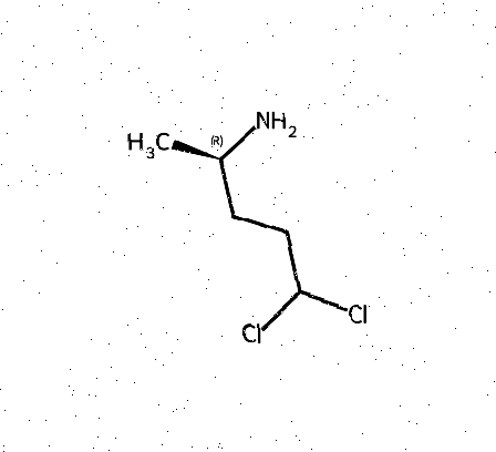 C[C@@H](N)CCC(Cl)Cl